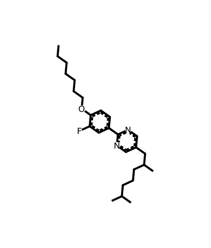 CCCCCCCOc1ccc(-c2ncc(CC(C)CCCC(C)C)cn2)cc1F